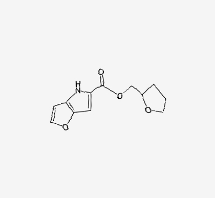 O=C(OCC1CCCO1)c1cc2occc2[nH]1